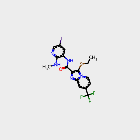 CCSc1c(C(=O)Nc2cc(I)cnc2NC)nc2cc(C(F)(F)F)ccn12